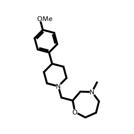 COc1ccc(C2CCN(CC3CN(C)CCCO3)CC2)cc1